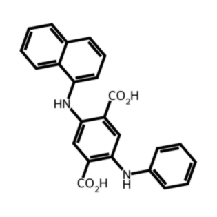 O=C(O)c1cc(Nc2cccc3ccccc23)c(C(=O)O)cc1Nc1ccccc1